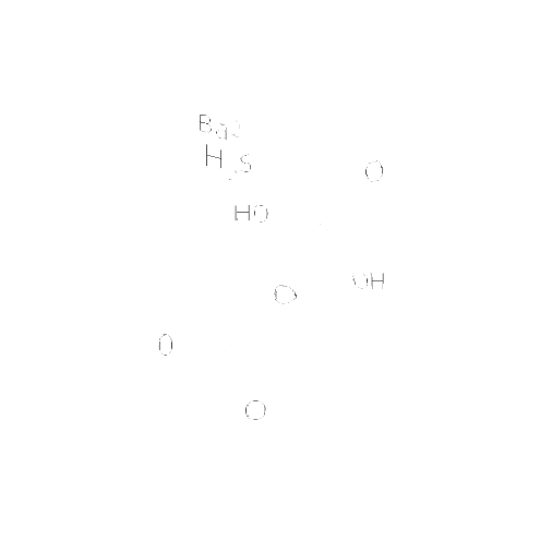 O=C(O)O.O=C([O-])[O-].S.[Ba+2]